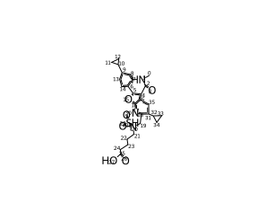 CNC(=O)c1c(-c2ccc(C3CC3)cc2)oc2nc(CN(CCCCC(=O)O)[SH](=O)=O)c(C3CC3)cc12